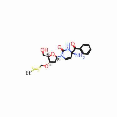 CCSSCO[C@H]1C[C@H](N2C=CC(N)(C(=O)c3ccccc3)NC2=O)O[C@@H]1CO